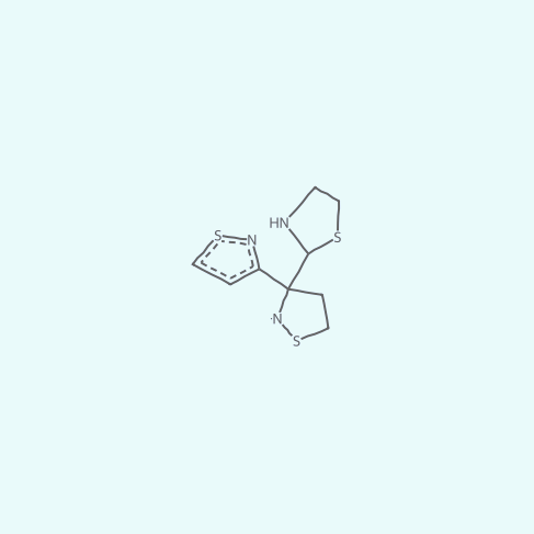 c1cc(C2(C3NCCS3)CCS[N]2)ns1